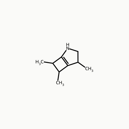 CC1CNC2=C1C(C)C2C